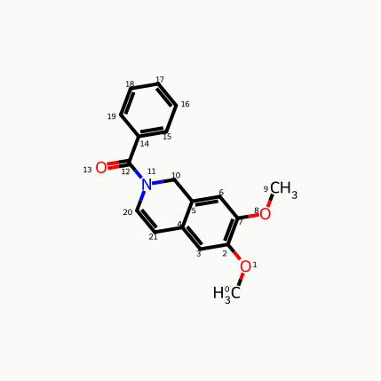 COc1cc2c(cc1OC)CN(C(=O)c1ccccc1)C=C2